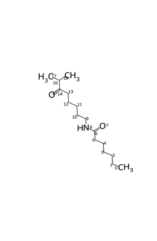 CCCCCCC(=O)NCCCCCC(=O)C(C)C